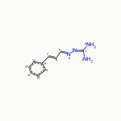 NC(N)=NN=CC=Cc1ccccc1